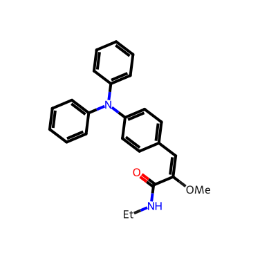 CCNC(=O)/C(=C\c1ccc(N(c2ccccc2)c2ccccc2)cc1)OC